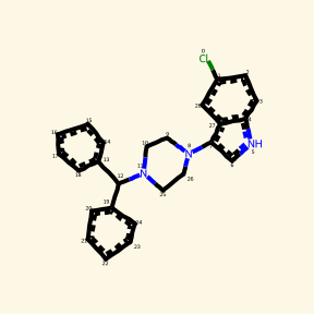 Clc1ccc2[nH][c]c(N3CCN(C(c4ccccc4)c4ccccc4)CC3)c2c1